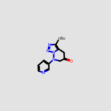 CCCCc1nnn2c1CC(=O)CN2c1cccnc1